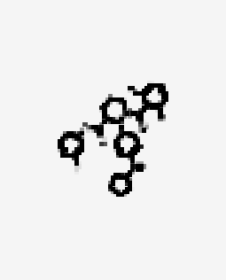 Cc1cccc(F)c1C(=O)N1CCC[C@H](C(=O)Nc2cccc(F)c2)[C@@H]1C1C=CC(NC2CCCC2)=CC1